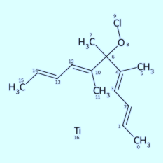 C/C=C/C=C(\C)C(C)(OCl)/C(C)=C/C=C/C.[Ti]